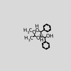 COC(C)O[SiH](C(O)c1ccccc1)C(O)c1ccccc1